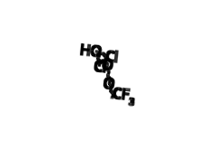 C/C(=C/COCCCCOc1c(Cl)cc(O)cc1Cl)C(F)(F)F